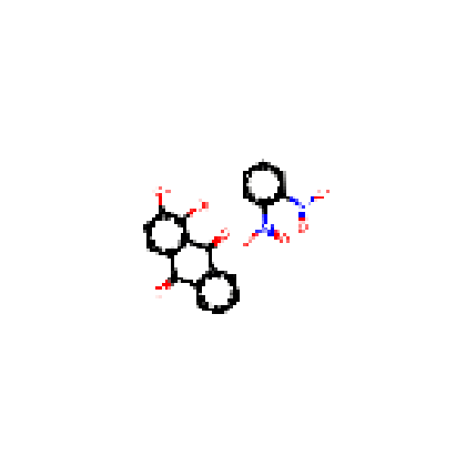 O=C1c2ccccc2C(=O)c2c1ccc(O)c2O.O=[N+]([O-])c1ccccc1[N+](=O)[O-]